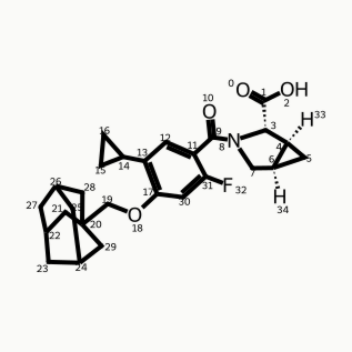 O=C(O)[C@@H]1[C@H]2C[C@H]2CN1C(=O)c1cc(C2CC2)c(OCC23CC4CC(CC(C4)C2)C3)cc1F